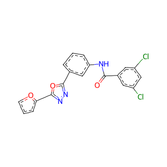 O=C(Nc1cccc(-c2nnc(-c3ccco3)o2)c1)c1cc(Cl)cc(Cl)c1